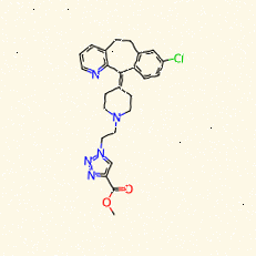 COC(=O)c1cn(CCN2CCC(=C3c4ccc(Cl)cc4CCc4cccnc43)CC2)nn1